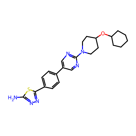 Nc1nnc(-c2ccc(-c3cnc(N4CCC(OC5CCCCC5)CC4)nc3)cc2)s1